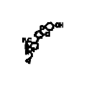 O[C@H]1CC[C@H](Oc2ccc(-c3ccn4c(CC5CC5)nnc4c3C(F)(F)F)cc2Cl)CC1